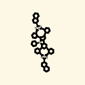 c1ccc(-n2c3c4cc(cc3c3cc5cc(c6ccccc6c6nc(-c7ccc8ccccc8c7)nc(n6)c6ccccc56)c32)c2ccccc2c2nc(-c3ccc5ccccc5c3)nc(n2)c2ccccc24)cc1